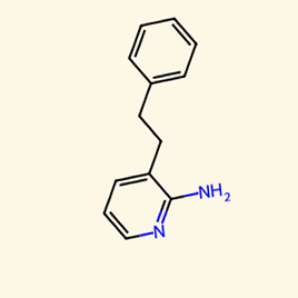 Nc1ncccc1CCc1ccccc1